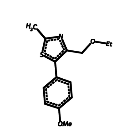 CCOCc1nc(C)sc1-c1ccc(OC)cc1